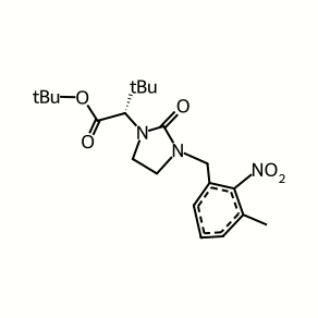 Cc1cccc(CN2CCN([C@H](C(=O)OC(C)(C)C)C(C)(C)C)C2=O)c1[N+](=O)[O-]